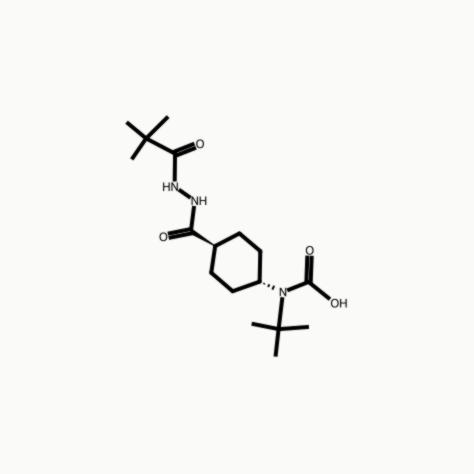 CC(C)(C)C(=O)NNC(=O)[C@H]1CC[C@H](N(C(=O)O)C(C)(C)C)CC1